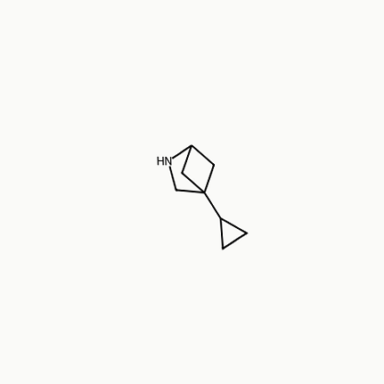 C1CC1C12CNC(C1)C2